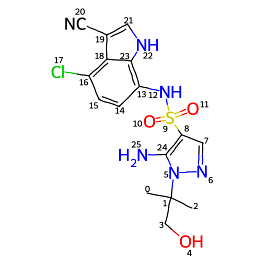 CC(C)(CO)n1ncc(S(=O)(=O)Nc2ccc(Cl)c3c(C#N)c[nH]c23)c1N